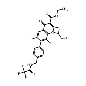 CCOC(=O)c1c2n(c3c(F)c(-c4ccc(CNC(=O)C(F)(F)F)cc4)c(F)cc3c1=O)C(CF)S2